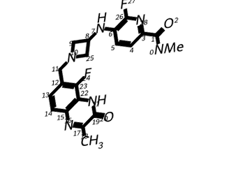 CNC(=O)c1ccc(NC2CN(Cc3ccc4nc(C)c(=O)[nH]c4c3F)C2)c(F)n1